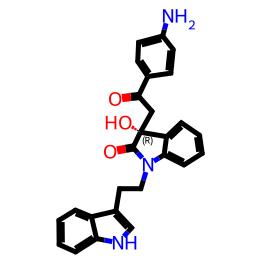 Nc1ccc(C(=O)C[C@]2(O)C(=O)N(CCc3c[nH]c4ccccc34)c3ccccc32)cc1